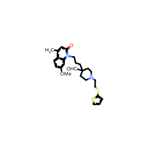 COc1ccc2c(C)cc(=O)n(CCCC3(C=O)CCN(CCSc4cccs4)CC3)c2c1